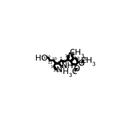 COc1cc2c(-c3cc4c(CCCO)ccnc4[nH]3)cn(C)c2cc1OC